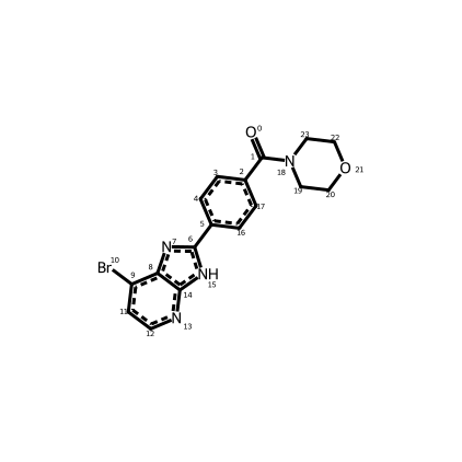 O=C(c1ccc(-c2nc3c(Br)ccnc3[nH]2)cc1)N1CCOCC1